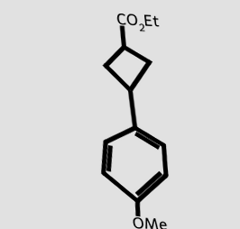 CCOC(=O)C1CC(c2ccc(OC)cc2)C1